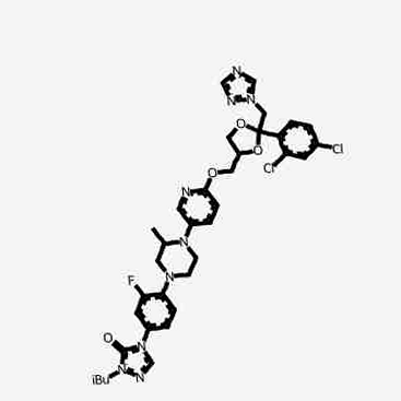 CCC(C)n1ncn(-c2ccc(N3CCN(c4ccc(OCC5COC(Cn6cncn6)(c6ccc(Cl)cc6Cl)O5)nc4)C(C)C3)c(F)c2)c1=O